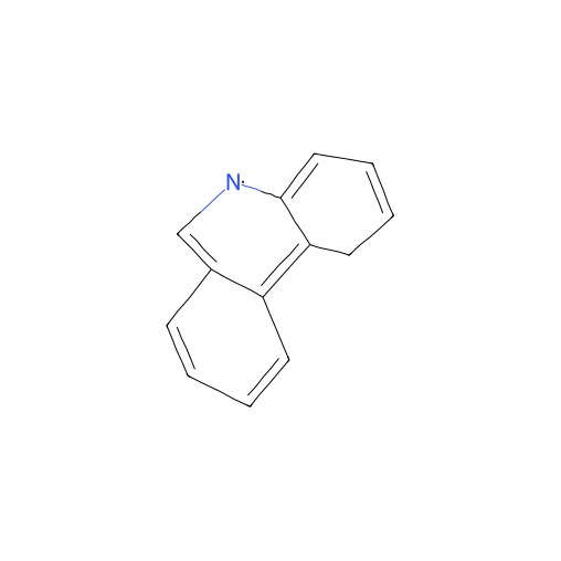 C1=CCC2=c3ccccc3=C[N]C2=C1